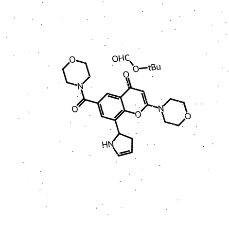 CC(C)(C)OC=O.O=C(c1cc(C2CC=CN2)c2oc(N3CCOCC3)cc(=O)c2c1)N1CCOCC1